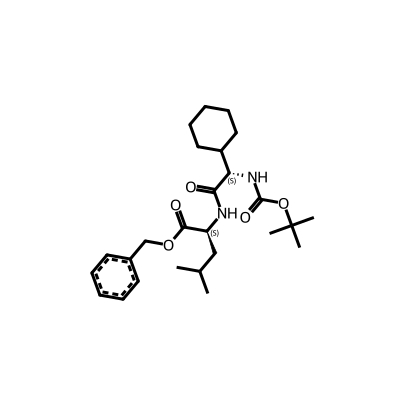 CC(C)C[C@H](NC(=O)[C@@H](NC(=O)OC(C)(C)C)C1CCCCC1)C(=O)OCc1ccccc1